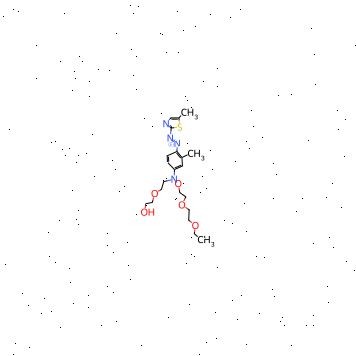 CCOCCOCCON(CCOCCO)c1ccc(/N=N/c2ncc(C)s2)c(C)c1